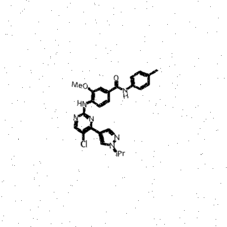 COc1cc(C(=O)Nc2ccc(C)cc2)ccc1Nc1ncc(Cl)c(-c2cnn(C(C)C)c2)n1